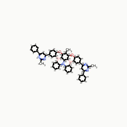 Cc1nc(-c2ccccc2)cc(-c2ccc3c(c2)B2c4ccccc4N4c5ccccc5B5c6cc(-c7cc(-c8ccccc8)nc(C)n7)ccc6Oc6c(C)c(c2c4c65)O3)n1